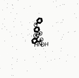 O=C(NO)c1ccccc1CS(=O)(=O)c1ccc(Oc2ccccc2)cc1